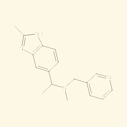 Cc1nc2cc(C(C)N(C)Cc3cccnc3)ccc2[nH]1